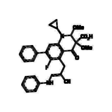 COC1N(C2CC2)c2cc(-c3ccccc3)c(F)c(CC(C#N)=CNc3ccccc3)c2C(=O)C1(OC)C(=O)O